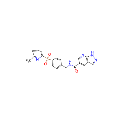 O=C(NCc1ccc(S(=O)(=O)c2cccc(C(F)(F)F)n2)cc1)c1cnc2[nH]ncc2c1